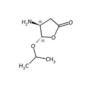 CC(C)O[C@H]1OC(=O)C[C@@H]1N